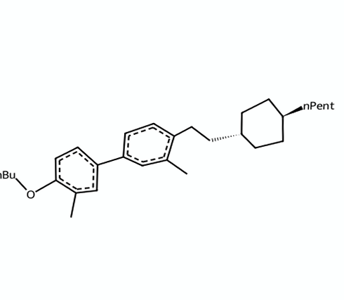 CCCCC[C@H]1CC[C@H](CCc2ccc(-c3ccc(OCCCC)c(C)c3)cc2C)CC1